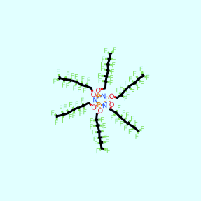 FC(F)C(F)(F)C(F)(F)C(F)(F)C(F)(F)C(F)(F)COP1(OCC(F)(F)C(F)(F)C(F)(F)C(F)(F)C(F)(F)C(F)F)=NP(OCC(F)(F)C(F)(F)C(F)(F)C(F)(F)C(F)(F)C(F)F)(OCC(F)(F)C(F)(F)C(F)(F)C(F)(F)C(F)(F)C(F)F)=NP(OCC(F)(F)C(F)(F)C(F)(F)C(F)(F)C(F)(F)C(F)F)(OCC(F)(F)C(F)(F)C(F)(F)C(F)(F)C(F)(F)C(F)F)=N1